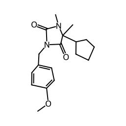 COc1ccc(CN2C(=O)N(C)C(C)(C3CCCC3)C2=O)cc1